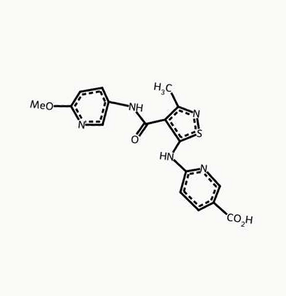 COc1ccc(NC(=O)c2c(C)nsc2Nc2ccc(C(=O)O)cn2)cn1